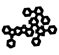 c1ccc(-c2nc(-c3ccccc3)nc(-c3cc(-c4c(-c5ccccc5)cccc4-c4ccccc4)cnc3-c3cccc4c3oc3cc5c6ccccc6n(-c6ccccc6)c5cc34)n2)cc1